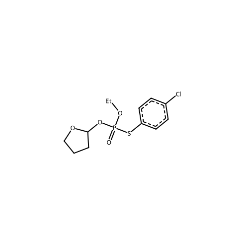 CCOP(=O)(OC1CCCO1)Sc1ccc(Cl)cc1